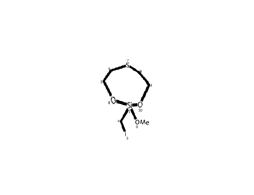 CO[Si]1(CI)OCCSCCO1